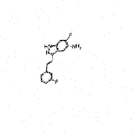 Nc1cc2c(/C=C/c3cccc(F)c3)n[nH]c2cc1F